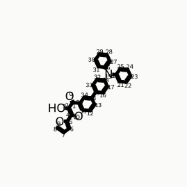 O=c1c(O)c(-c2ccco2)oc2ccc(-c3ccc(N(c4ccccc4)c4ccccc4)cc3)cc12